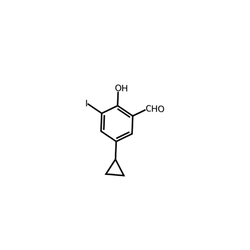 O=Cc1cc(C2CC2)cc(I)c1O